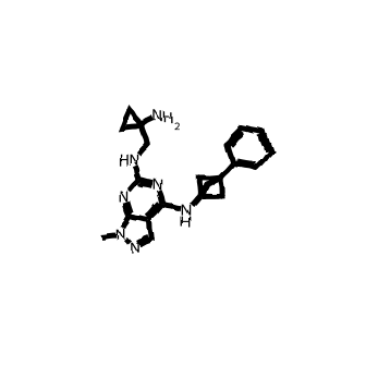 Cn1ncc2c(NC34CC(c5ccccc5)(C3)C4)nc(NCC3(N)CC3)nc21